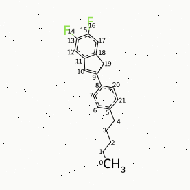 CCCCCc1ccc(C2=Cc3cc(F)c(F)cc3C2)cc1